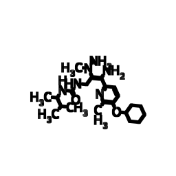 Cc1nc(/C(N)=C(\CNC(=O)NC(C)C(C)C)N(C)N)ccc1OC1CCCCC1